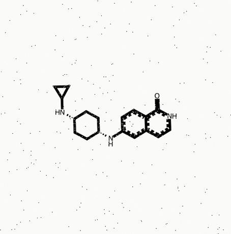 O=c1[nH]ccc2cc(N[C@H]3CC[C@@H](NC4CC4)CC3)ccc12